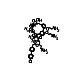 C[C@H]1NC(=O)[C@@H](N(C)C(=O)[C@@H](CCCCN)NC(=O)Cc2ccc(-c3ccc(Cl)cc3)cc2)c2ccc(OCCN)c(c2)-c2cc(ccc2OCCN)C[C@@H](C(=O)O)NC1=O